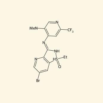 CC[SH]1(=O)N/C(=N\c2cc(C(F)(F)F)ncc2NC)c2ncc(Br)cc21